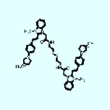 Cn1c(/C=C/c2ccc(N3CC[C@@H](O)C3)cc2)[n+](CC(=O)NCCSSCCNC(=O)C[n+]2c(/C=C/c3ccc(N4CC[C@@H](O)C4)cc3)n(C)c3ccccc32)c2ccccc21